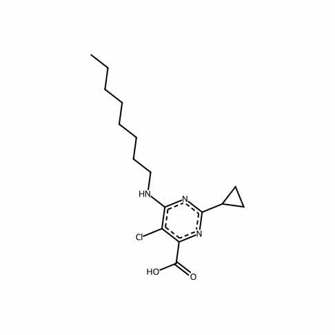 CCCCCCCCNc1nc(C2CC2)nc(C(=O)O)c1Cl